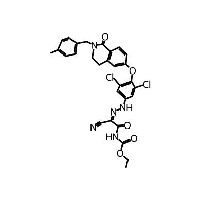 CCOC(=O)NC(=O)C(C#N)=NNc1cc(Cl)c(Oc2ccc3c(c2)CCN(Cc2ccc(C)cc2)C3=O)c(Cl)c1